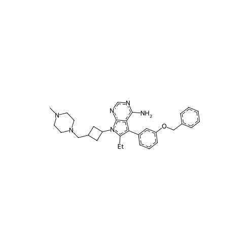 CCc1c(-c2cccc(OCc3ccccc3)c2)c2c(N)ncnc2n1C1CC(CN2CCN(C)CC2)C1